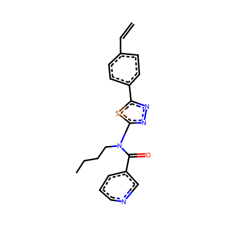 C=Cc1ccc(-c2nnc(N(CCCC)C(=O)c3cccnc3)s2)cc1